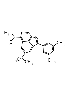 Cc1cc(C)cc(C2=Nc3ccc(C(C)C)c4cc(C(C)C)cc2c34)c1